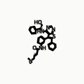 CN(C)C/C=C/C(=O)Nc1cccc(-c2c(-c3ccccc3)sc3ncnc(N[C@H](CO)c4ccccc4)c23)c1